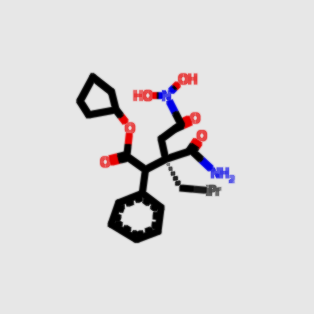 CC(C)C[C@](CC(=O)N(O)O)(C(N)=O)C(C(=O)OC1CCCC1)c1ccccc1